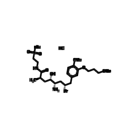 CCCCS(=O)(=O)CCNC(=O)[C@H](C)C[C@H](O)[C@@H](N)C[C@H](Cc1ccc(OC)c(OCCCOC)c1)C(C)C.Cl